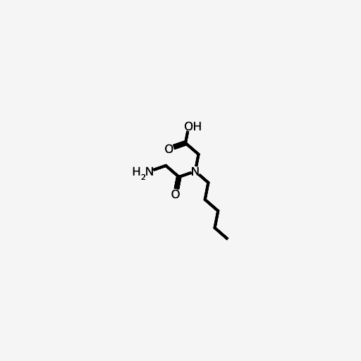 CCCCCN(CC(=O)O)C(=O)CN